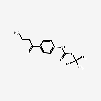 CCCC(=O)c1ccc(NC(=O)OC(C)(C)C)cc1